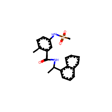 Cc1ccc(NS(C)(=O)=O)cc1C(=O)NC(C)c1cccc2ccccc12